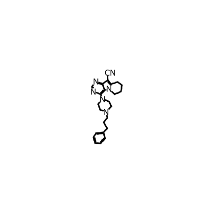 N#Cc1c2n(c3c(N4CCN(CCCc5ccccc5)CC4)ncnc13)CCCC2